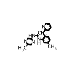 C=C(Nc1cnc(C)cn1)Nc1cc(C)ccc1Cc1ccccn1